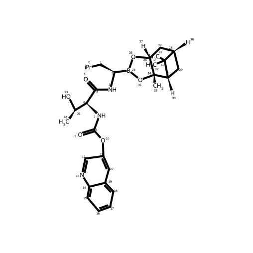 CC(C)C[C@H](NC(=O)[C@@H](NC(=O)Oc1cnc2ccccc2c1)[C@@H](C)O)B1O[C@@H]2C[C@@H]3C[C@@H](C3(C)C)[C@]2(C)O1